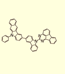 c1ccc(-n2c3ccc(-c4ccc5c(c4)c4ccccc4n5-c4nc5c6c(cccc6n4)-c4ccccc4-5)cc3c3cc4ccccc4cc32)cc1